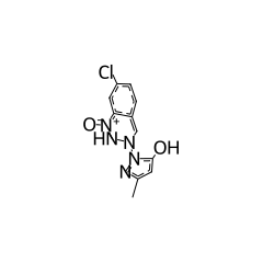 Cc1cc(O)n(N2C=c3ccc(Cl)cc3=[N+]([O-])N2)n1